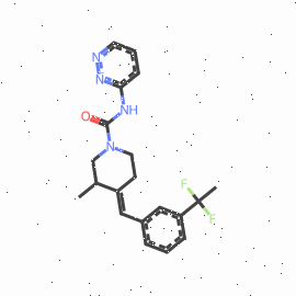 CC1CN(C(=O)Nc2cccnn2)CC/C1=C\c1cccc(C(C)(F)F)c1